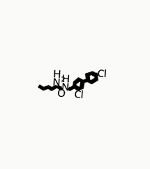 CCCCC(N)C(=O)NCc1ccc(-c2ccc(Cl)cc2)cc1Cl